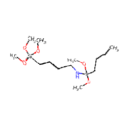 CCCC[Si](NCCCC[Si](OC)(OC)OC)(OC)OC